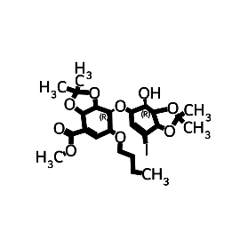 CCCCOC1C=C(C(=O)OC)C2OC(C)(C)OC2[C@@H]1OC1C=C(I)C2OC(C)(C)OC2[C@@H]1O